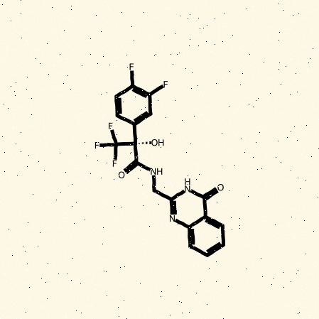 O=C(NCc1nc2ccccc2c(=O)[nH]1)[C@](O)(c1ccc(F)c(F)c1)C(F)(F)F